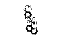 COc1ccc(S(=O)(=O)Nc2cccc3cccnc23)nc1